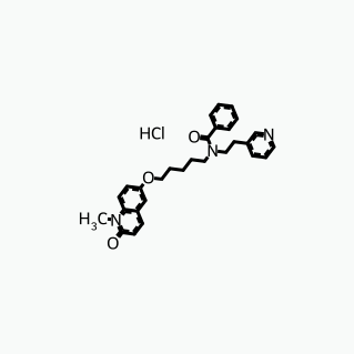 Cl.Cn1c(=O)ccc2cc(OCCCCCN(CCc3cccnc3)C(=O)c3ccccc3)ccc21